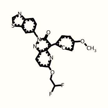 COc1ccc(-c2c(=O)n(-c3ccc4ncsc4c3)nc3ccc(OCC(F)F)nc23)cc1